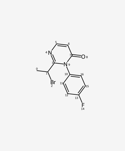 CC(Br)c1nccc(=O)n1-c1ccc(F)cc1